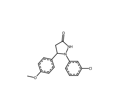 COc1ccc(C2CC(=O)NN2c2cccc(Cl)c2)cc1